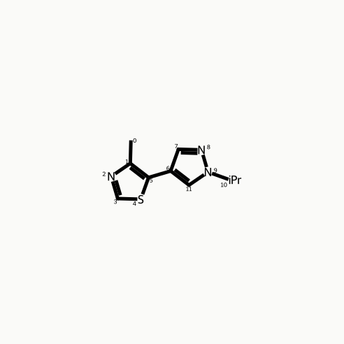 Cc1ncsc1-c1cnn(C(C)C)c1